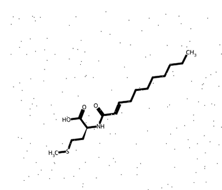 CCCCCCCCC=CC(=O)N[C@@H](CCSC)C(=O)O